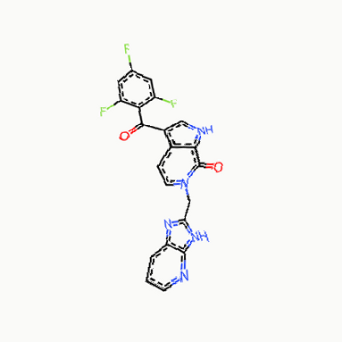 O=C(c1c(F)cc(F)cc1F)c1c[nH]c2c(=O)n(Cc3nc4cccnc4[nH]3)ccc12